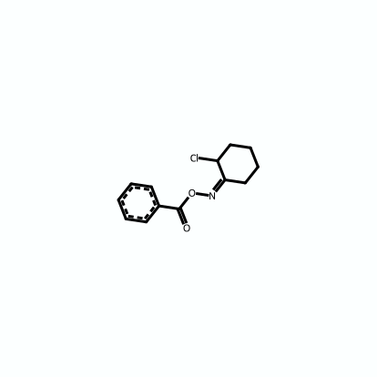 O=C(ON=C1CCCCC1Cl)c1ccccc1